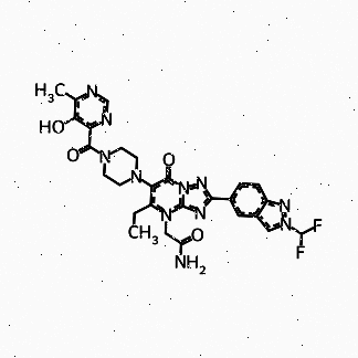 CCc1c(N2CCN(C(=O)c3ncnc(C)c3O)CC2)c(=O)n2nc(-c3ccc4nn(C(F)F)cc4c3)nc2n1CC(N)=O